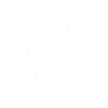 Fc1ccc(SC2(Cl)N=C[C]=CN2)cc1F